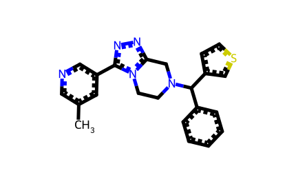 Cc1cncc(-c2nnc3n2CCN(C(c2ccccc2)c2ccsc2)C3)c1